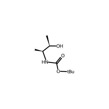 C[C@H](NC(=O)OC(C)(C)C)[C@@H](C)O